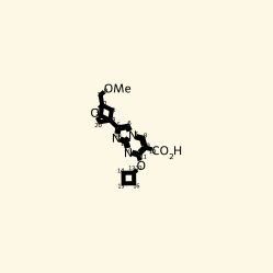 COCC12CC(c3cn4cc(C(=O)O)c(OC5CCC5)nc4n3)(CO1)C2